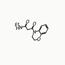 CCNC(=O)CC(=O)N1CCOc2ccccc21